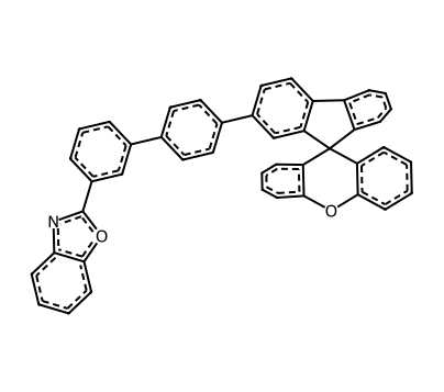 c1cc(-c2ccc(-c3ccc4c(c3)C3(c5ccccc5Oc5ccccc53)c3ccccc3-4)cc2)cc(-c2nc3ccccc3o2)c1